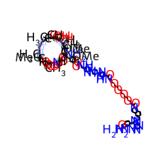 CO[C@H]1C[C@@H]2CC[C@@H](C)[C@@](O)(O2)C(=O)C(=O)N2CCCC[C@H]2C(=O)O[C@H]([C@H](N)C[C@@H]2CC[C@@H](OC(=O)NCc3cnc(N4CCN(c5ncc(C(=O)NCCOCCOCCOCCOCCC(=O)N6CCc7cc(Cn8nc(-c9ccc%10oc(N)nc%10c9)c9c(N)ncnc98)ccc7C6)cn5)CC4)nc3)[C@H](OC)C2)C[C@@H](OC)[C@H](C)/C=C(\C)[C@@H](O)[C@@H](O)C(=O)[C@H](C)C[C@H](C)/C=C/C=C/C=C/1C